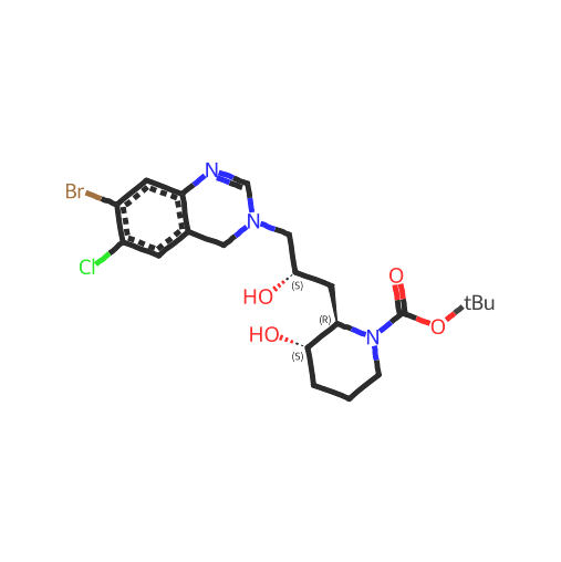 CC(C)(C)OC(=O)N1CCC[C@H](O)[C@H]1C[C@H](O)CN1C=Nc2cc(Br)c(Cl)cc2C1